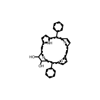 OC1c2cc3ccc([nH]3)c(-c3ccccc3)c3nc(cc4ccc(s4)c(-c4ccccc4)c(n2)C1O)C=C3